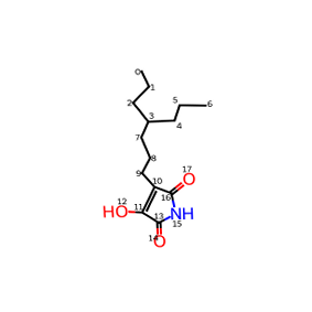 CCCC(CCC)CCCC1=C(O)C(=O)NC1=O